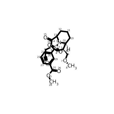 C#CCN1C[C@H](COC)[C@@H]2CCCC(C1=O)N2S(=O)(=O)c1cccc(C(=O)OC)c1